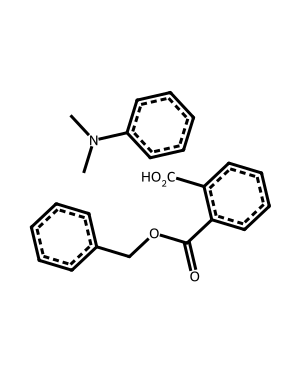 CN(C)c1ccccc1.O=C(O)c1ccccc1C(=O)OCc1ccccc1